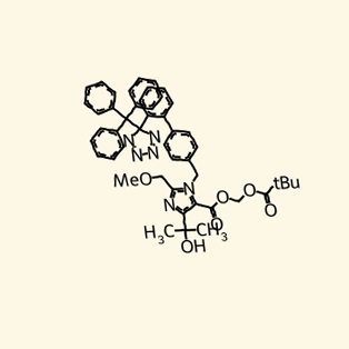 COCc1nc(C(C)(C)O)c(C(=O)OCOC(=O)C(C)(C)C)n1Cc1ccc(-c2ccccc2C2(C(c3ccccc3)(c3ccccc3)c3ccccc3)N=NN=N2)cc1